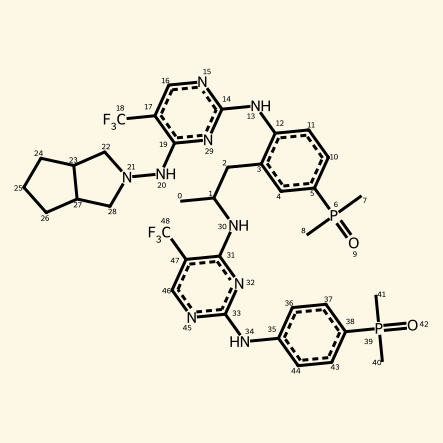 CC(Cc1cc(P(C)(C)=O)ccc1Nc1ncc(C(F)(F)F)c(NN2CC3CCCC3C2)n1)Nc1nc(Nc2ccc(P(C)(C)=O)cc2)ncc1C(F)(F)F